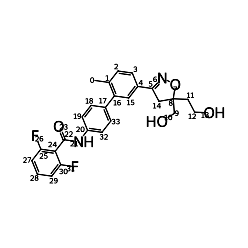 Cc1ccc(C2=NOC(CO)(CCO)C2)cc1-c1ccc(NC(=O)c2c(F)cccc2F)cc1